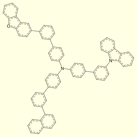 c1cc(-c2ccc(N(c3ccc(-c4cccc(-c5cccc6ccccc56)c4)cc3)c3ccc(-c4cccc(-n5c6ccccc6c6ccccc65)c4)cc3)cc2)cc(-c2ccc3oc4ccccc4c3c2)c1